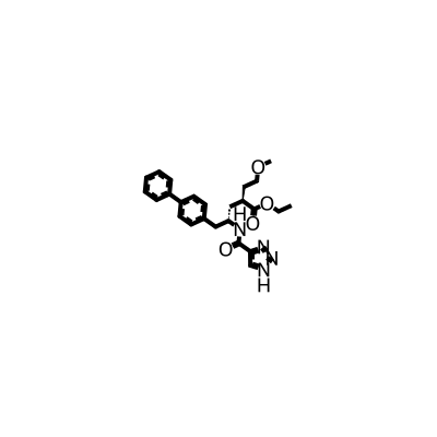 CCOC(=O)[C@H](CCOC)C[C@@H](Cc1ccc(-c2ccccc2)cc1)NC(=O)c1c[nH]nn1